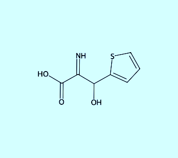 N=C(C(=O)O)C(O)c1cccs1